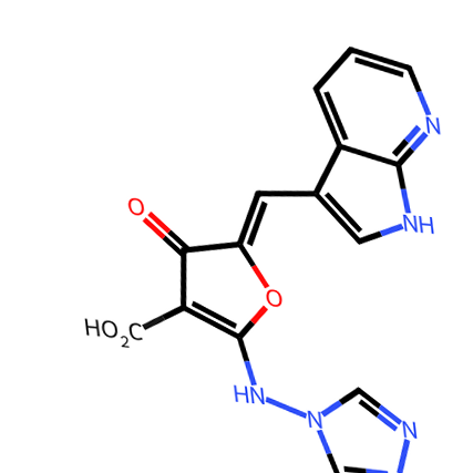 O=C(O)C1=C(Nn2cnnc2)OC(=Cc2c[nH]c3ncccc23)C1=O